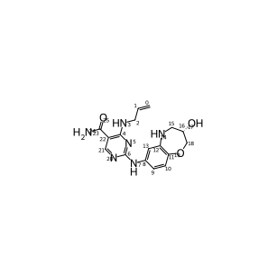 C=CCNc1nc(Nc2ccc3c(c2)NC[C@H](O)CO3)ncc1C(N)=O